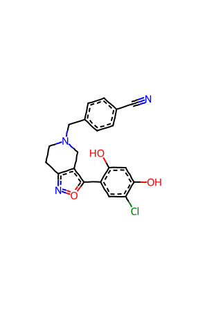 N#Cc1ccc(CN2CCc3noc(-c4cc(Cl)c(O)cc4O)c3C2)cc1